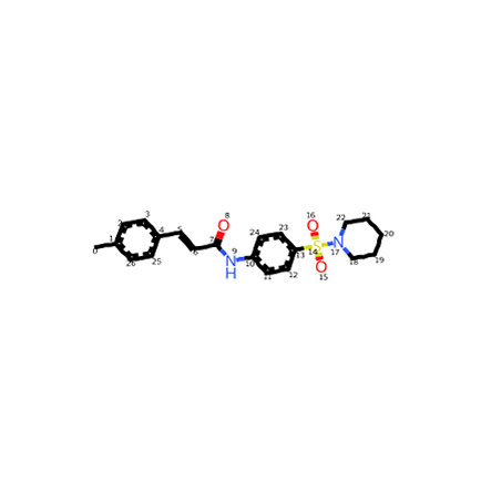 Cc1ccc(C=CC(=O)Nc2ccc(S(=O)(=O)N3CCCCC3)cc2)cc1